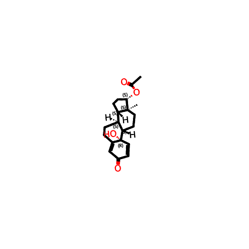 CC(=O)O[C@H]1CC[C@H]2[C@@H]3CCC4=CC(=O)C=C[C@]4(O)[C@H]3CC[C@]12C